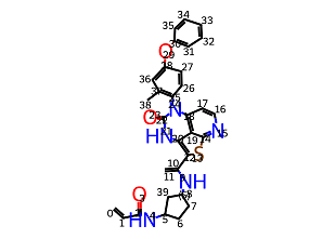 C=CC(=O)NC1CC[C@H](NC(=C)c2sc3nccc4c3c2NC(=O)N4c2ccc(Oc3ccccc3)cc2C)C1